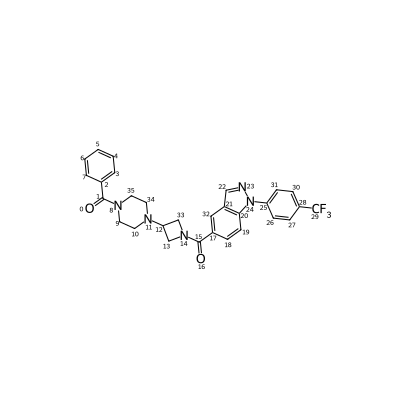 O=C(c1ccccc1)N1CCN(C2CN(C(=O)c3ccc4c(cnn4-c4ccc(C(F)(F)F)cc4)c3)C2)CC1